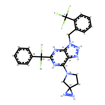 FC(F)(F)c1ccccc1Cn1nnc2c(N3CCC4(C3)N=N4)nc(C(F)(F)c3ccccc3)nc21